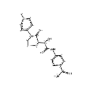 Cc1ccc(N2CCO[C@H]([C@@H](O)C(=O)Nc3ccc(C(=N)N)cc3)C2=O)cc1